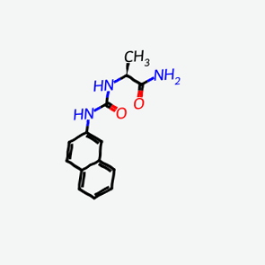 C[C@H](NC(=O)Nc1ccc2ccccc2c1)C(N)=O